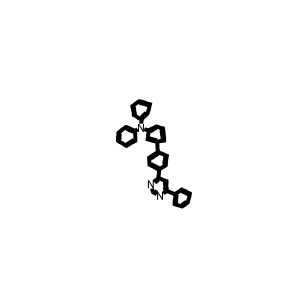 c1ccc(-c2cc(-c3ccc(-c4cccc(N(c5ccccc5)c5ccccc5)c4)cc3)ncn2)cc1